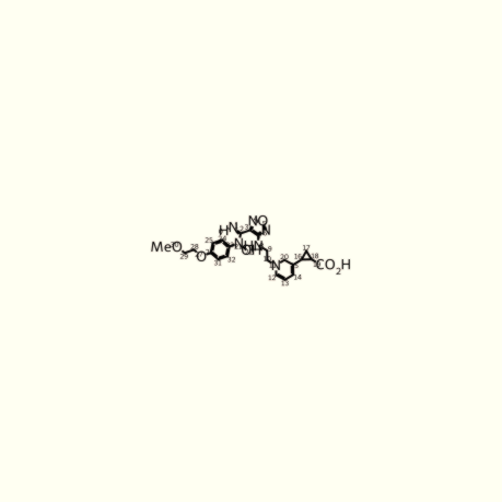 [H]/N=C(/c1nonc1NCCN1C=CC=C(C2CC2C(=O)O)C1)N(O)c1ccc(OCCOC)cc1